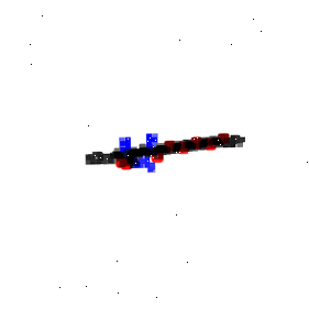 CCCCCCCCCCCC(=O)NC(CCCCNC(=O)CCOCCOCCOCCOCCOCCC)C(N)=O